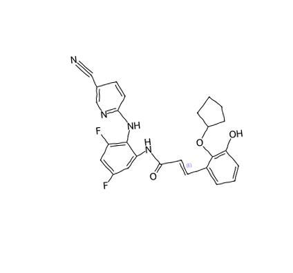 N#Cc1ccc(Nc2c(F)cc(F)cc2NC(=O)/C=C/c2cccc(O)c2OC2CCCC2)nc1